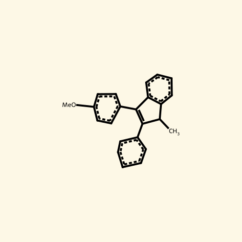 COc1ccc(C2=C(c3ccccc3)C(C)c3ccccc32)cc1